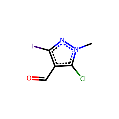 Cn1nc(I)c(C=O)c1Cl